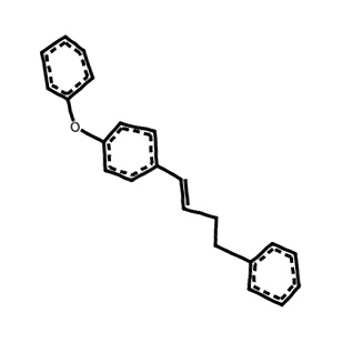 C(=Cc1ccc(Oc2ccccc2)cc1)CCc1ccccc1